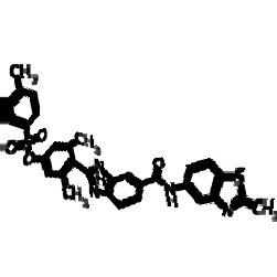 Cc1ccc(S(=O)(=O)Oc2cc(C)c(-c3nc4ccc(C(=O)Nc5ccc6sc(C)nc6c5)cc4[nH]3)c(C)c2)cc1